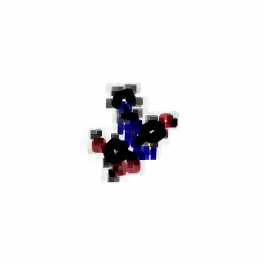 COc1ccc(-c2nc3cc(OC)cc(OC)c3c(=O)[nH]2)c(NCCN2CCCC2)c1